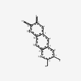 C=c1cc2cc3cc(C)c(C)nc3nc2nc1=C